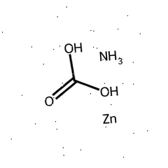 N.O=C(O)O.[Zn]